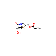 CNCC(=O)OCC1CN2C(=O)[C@H]([C@@H](C)O)[C@H]2S1